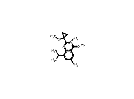 COC1(c2nc3c(C(C)N)cc(C)cc3c(=O)n2C)CC1.Cl